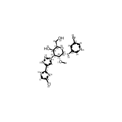 CO[C@@H]1[C@@H](n2cc(-c3nc(Cl)cs3)nn2)[C@@H](O)[C@@H](CO)O[C@@H]1Sc1cncc(Br)c1